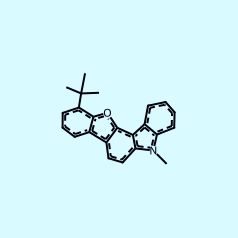 Cn1c2ccccc2c2c3oc4c(C(C)(C)C)cccc4c3ccc21